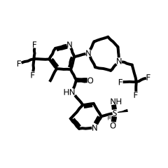 Cc1c(C(F)(F)F)cnc(N2CCCN(CC(F)(F)F)CC2)c1C(=O)Nc1ccnc([S@](C)(=N)=O)c1